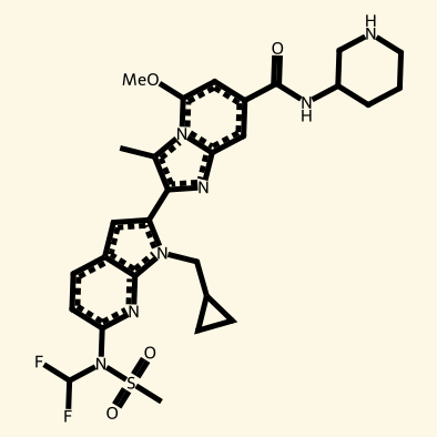 COc1cc(C(=O)NC2CCCNC2)cc2nc(-c3cc4ccc(N(C(F)F)S(C)(=O)=O)nc4n3CC3CC3)c(C)n12